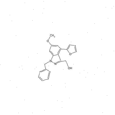 COc1cc(-c2ccco2)c2c(CO)nn(Cc3ccccc3)c2c1